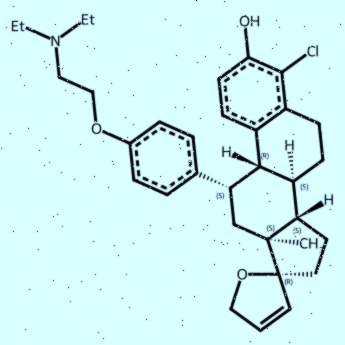 CCN(CC)CCOc1ccc([C@H]2C[C@@]3(C)[C@@H](CC[C@@]34C=CCO4)[C@@H]3CCc4c(ccc(O)c4Cl)[C@H]32)cc1